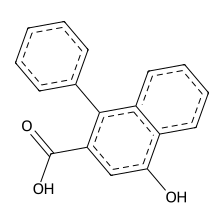 O=C(O)c1cc(O)c2ccccc2c1-c1ccccc1